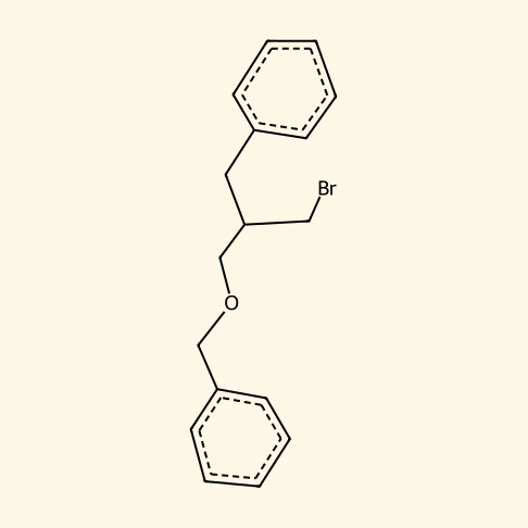 BrCC(COCc1ccccc1)Cc1ccccc1